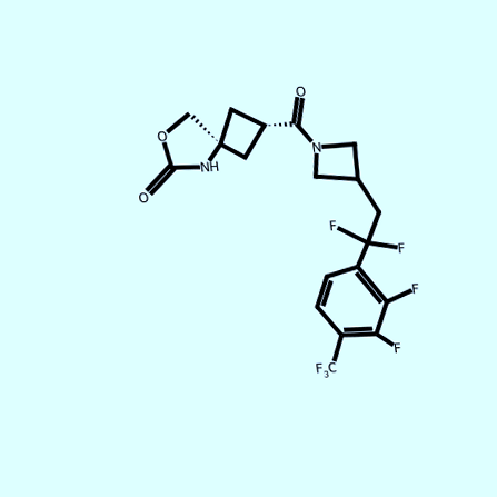 O=C1N[C@]2(CO1)C[C@@H](C(=O)N1CC(CC(F)(F)c3ccc(C(F)(F)F)c(F)c3F)C1)C2